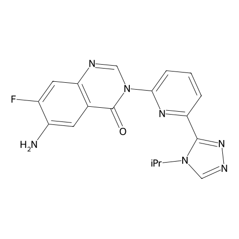 CC(C)n1cnnc1-c1cccc(-n2cnc3cc(F)c(N)cc3c2=O)n1